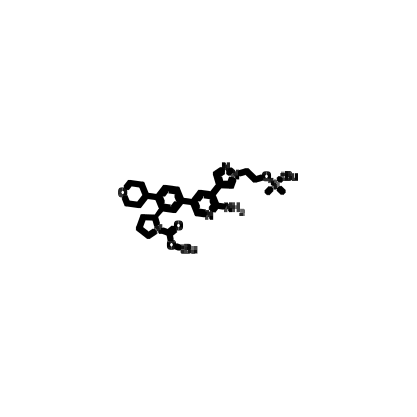 CC(C)(C)OC(=O)N1CCC[C@H]1c1cc(-c2cnc(N)c(-c3cnn(CCO[Si](C)(C)C(C)(C)C)c3)c2)ccc1C1CCOCC1